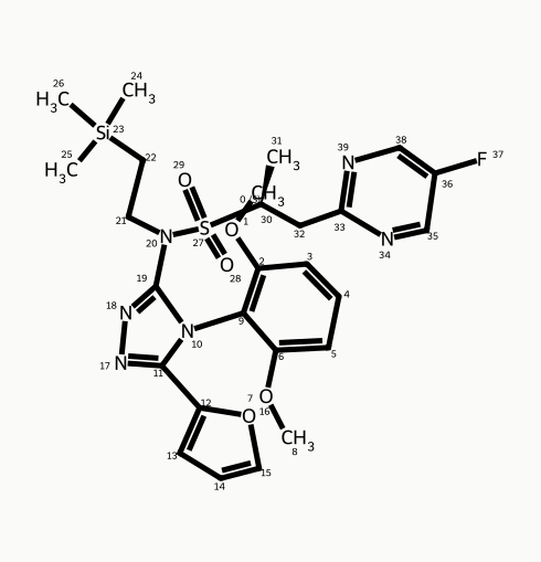 COc1cccc(OC)c1-n1c(-c2ccco2)nnc1N(CC[Si](C)(C)C)S(=O)(=O)[C@@H](C)Cc1ncc(F)cn1